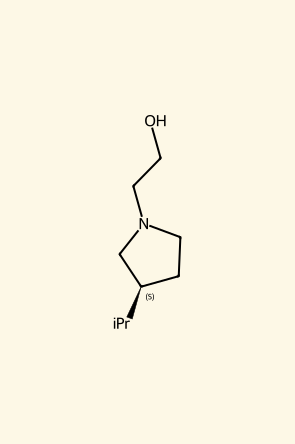 CC(C)[C@@H]1CCN(CCO)C1